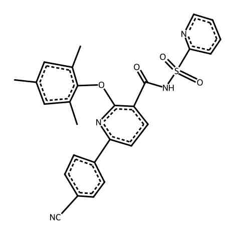 Cc1cc(C)c(Oc2nc(-c3ccc(C#N)cc3)ccc2C(=O)NS(=O)(=O)c2ccccn2)c(C)c1